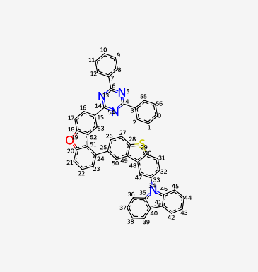 c1ccc(-c2nc(-c3ccccc3)nc(-c3ccc4oc5cccc(-c6ccc7sc8ccc(-n9c%10ccccc%10c%10ccccc%109)cc8c7c6)c5c4c3)n2)cc1